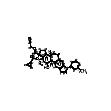 Cc1cc(-n2ncc3c2C=C2CC[C@@H]4[C@H]([C@@H](O)C[C@@]5(C)[C@H]4CC[C@]5(OC(=O)C4CC4)C(=O)OCC#N)[C@@]2(C)C3)ccn1